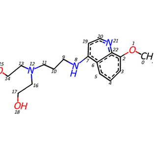 COc1cccc2c(NCCCN(CCO)CCO)ccnc12